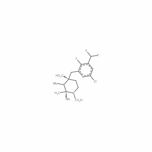 CC(C)(C)C1[C@@](Cc2nc(Cl)cc(C(F)F)c2F)(C(=O)O)CCN(C(=O)O)[C@@]1(C)C(C)(C)C